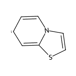 [C]1C=CN2C=CSC2=C1